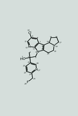 CC(O)(Cn1c2c(c3cc(Cl)cnc31)C1CCCN1CC2)c1ccc(CF)nc1